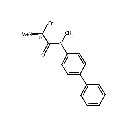 CN[C@H](C(=O)N(C)c1ccc(-c2ccccc2)cc1)C(C)C